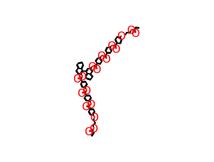 C=CC(=O)OCCCOc1ccc(C(=O)Oc2ccc(C(=O)Oc3ccc(C(=O)Oc4cc(-c5c(OC(=O)c6ccc(OC(=O)c7ccc(OC(=O)c8ccc(OCCCOC(=O)C=C)cc8)cc7)cc6)ccc6ccccc56)c5ccccc5c4)cc3)cc2)cc1